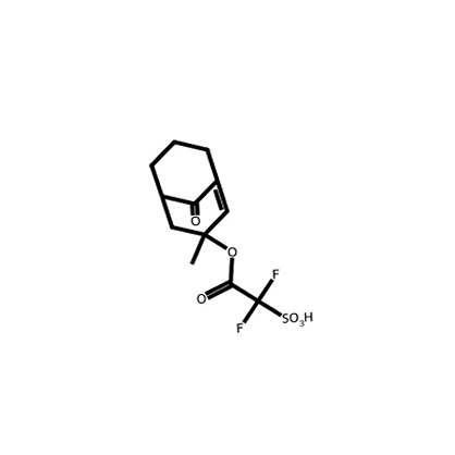 CC1(OC(=O)C(F)(F)S(=O)(=O)O)C=C2CCCC(C1)C2=O